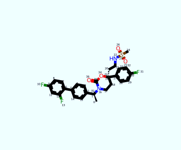 C[C@@H](c1ccc(-c2ccc(F)cc2F)cc1)N1CC[C@](CCNS(C)(=O)=O)(c2ccc(F)cc2)OC1=O